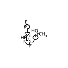 CC(O)N1CCC(Cc2nc(Nc3ncc(-c4ccc(F)cc4)s3)ncc2F)CC1